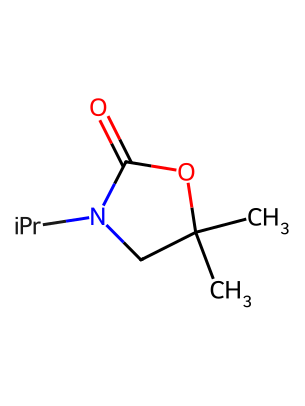 CC(C)N1CC(C)(C)OC1=O